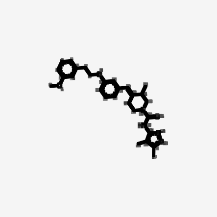 COc1cccc(CCOc2cccc(C=C3CCN(C(=O)Nc4noc(C)c4C)CC3C)c2)c1